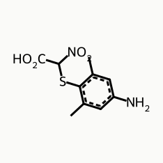 Cc1cc(N)cc(C)c1SC(C(=O)O)[N+](=O)[O-]